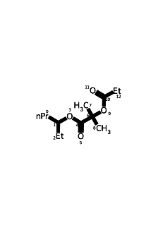 CCCC(CC)OC(=O)C(C)(C)OC(=O)CC